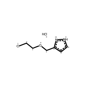 Cl.ClCCOCc1cc[nH]n1